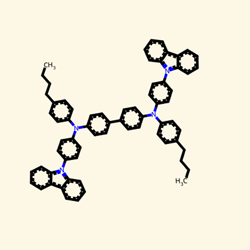 CCCCc1ccc(N(c2ccc(-c3ccc(N(c4ccc(CCCC)cc4)c4ccc(-n5c6ccccc6c6ccccc65)cc4)cc3)cc2)c2ccc(-n3c4ccccc4c4ccccc43)cc2)cc1